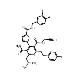 C#CCNC(=O)c1c(CCc2ccc(F)cc2)nc(CC(C)C)c(C(N)=O)c1-c1ccc(C(=O)NCc2ccc(F)c(F)c2)s1